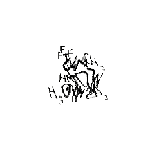 CN(CCc1nnn(C)n1)c1nc(C(F)(F)F)ccc1C(=O)Nc1nnnn1C